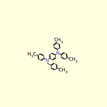 Cc1ccc(CN(c2ccc(C)cc2)c2ccc(N(c3ccc(C)cc3)c3ccc(C)cc3)cc2)cc1